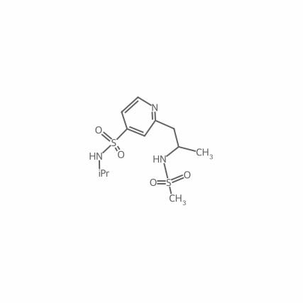 CC(C)NS(=O)(=O)c1ccnc(CC(C)NS(C)(=O)=O)c1